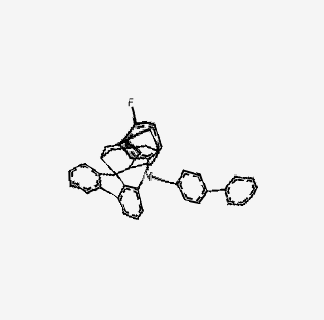 Fc1ccc(N(c2ccc(-c3ccccc3)cc2)c2cccc3c2C2(c4ccccc4-3)C3CC4CC(C3)CC2C4)cc1